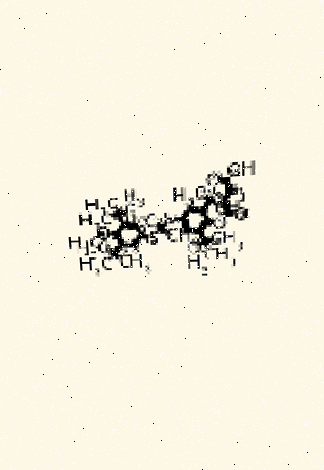 COc1c(C(C)(C)C)cc(SC(C)(C)Sc2cc(C(C)(C)C)c(OC(=O)CCC(=O)O)c(C(C)(C)C)c2)cc1C(C)(C)C